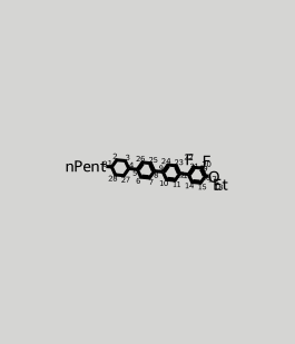 CCCCCC1CCC(c2ccc(-c3ccc(-c4ccc(OCC)c(F)c4F)cc3)cc2)CC1